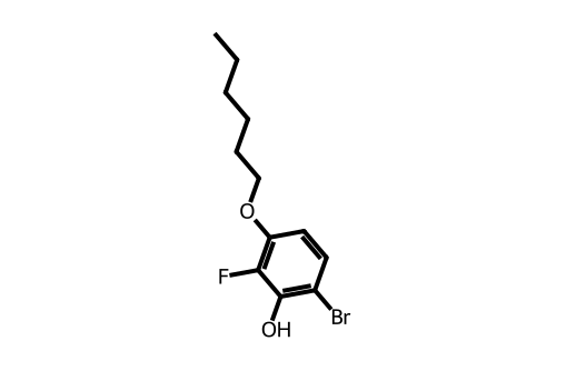 CCCCCCOc1ccc(Br)c(O)c1F